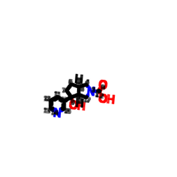 O=C(O)N1C[C@@H]2CCC(O)(c3cccnc3)[C@@H]2C1